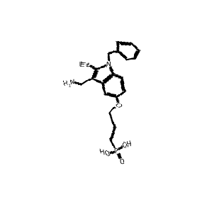 CCc1c(CN)c2cc(OCCCP(=O)(O)O)ccc2n1Cc1ccccc1